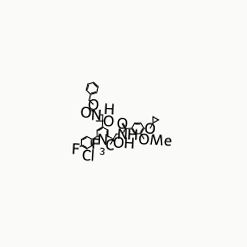 COc1cc(C(=O)NCC(O)(c2cc(C3(O)CN(C(=O)OCc4ccccc4)C3)cc(-c3ccc(F)c(Cl)c3)n2)C(F)(F)F)ccc1OC1CC1